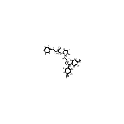 O=C(CCc1ccccc1)NC1CCCN1CCOC(c1ccc(F)cc1)c1ccc(F)cc1